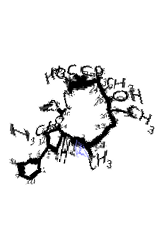 C/C1=C/[C@@H]2CC(c3ccccc3)C(C)[C@H]2OC(=O)C[C@H](O)C(C)(C)C(=O)[C@H](C)[C@@H](O)[C@@H](C)CCC1